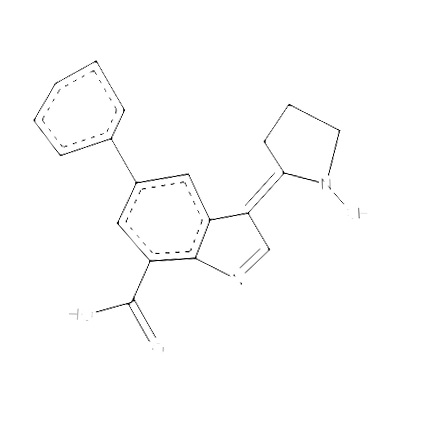 CN1CCC/C1=C1/C=Nc2c(C(=O)O)cc(-c3ccccc3)cc21